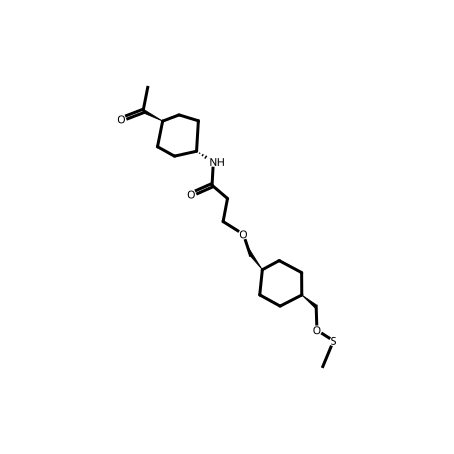 CSOC[C@H]1CC[C@@H](COCCC(=O)N[C@H]2CC[C@H](C(C)=O)CC2)CC1